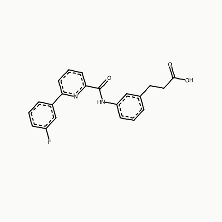 O=C(O)CCc1cccc(NC(=O)c2cccc(-c3cccc(F)c3)n2)c1